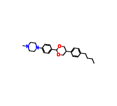 CCCCc1ccc(C2COC(c3ccc(N4CCN(C)CC4)cc3)OC2)cc1